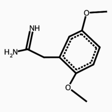 COc1ccc(OC)c(CC(=N)N)c1